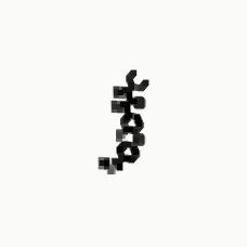 CCC(CC)NC(=O)Nc1ccc(Oc2ccc(N)cc2)c(F)c1